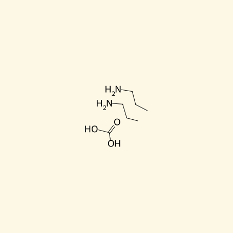 CCCN.CCCN.O=C(O)O